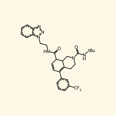 CC(C)(C)NC(=O)N1CCC2=C(c3cccc(C(F)(F)F)c3)C=CC(C(=O)NCCn3nnc4ccccc43)C2C1